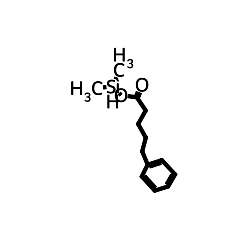 C[SiH](C)OC(=O)CCCCc1ccccc1